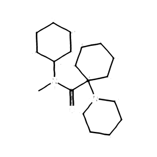 CN(C(=O)C1(N2CCCCC2)CCCCC1)C1CCCCC1